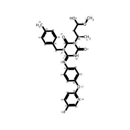 COC(O)C[C@@H](C)n1c(=O)[nH]/c(=N\c2ccc(Oc3ccc(F)cn3)cc2)n(Cc2ccc(C)cc2)c1=O